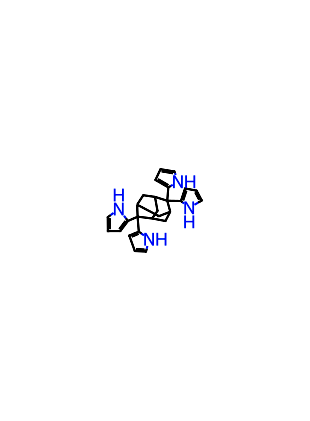 c1c[nH]c(C2(c3ccc[nH]3)C3CC4CC2CC(C3)C4(c2ccc[nH]2)c2ccc[nH]2)c1